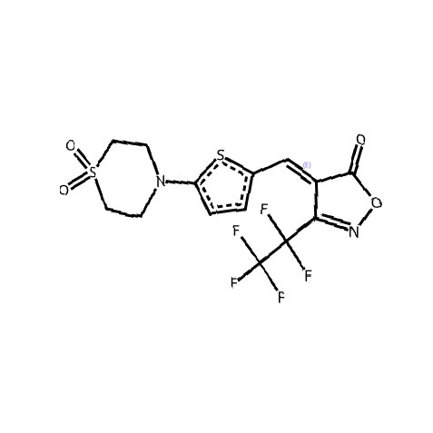 O=C1ON=C(C(F)(F)C(F)(F)F)/C1=C\c1ccc(N2CCS(=O)(=O)CC2)s1